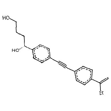 C=C(CC)c1ccc(C#Cc2ccc([C@H](O)CCCO)cc2)cc1